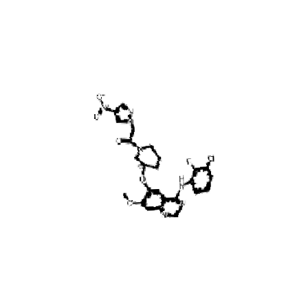 COc1cc2ncnc(Nc3cccc(Cl)c3F)c2cc1O[C@@H]1CCCN(C(=O)Cn2cc([N+](=O)[O-])cn2)C1